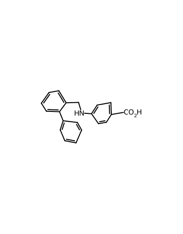 O=C(O)c1ccc(NCc2ccccc2-c2ccccc2)cc1